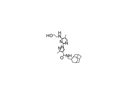 Cc1cnc(-n2cc(C(=O)NCC34CC5CC6CC(C3)C6(C5)C4)c(C)n2)nc1NCCO